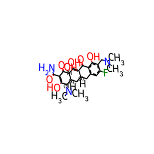 CN(C)Cc1c(F)cc2c(c1O)C(=O)C1=C(O)[C@]3(O)C(=O)C(C(N)=O)=C(O)[C@@H](N(C)C)[C@@H]3C[C@@H]1C2